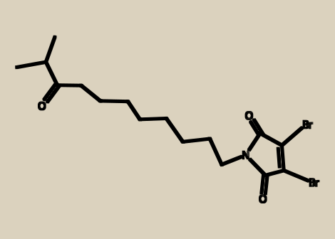 CC(C)C(=O)CCCCCCCCN1C(=O)C(Br)=C(Br)C1=O